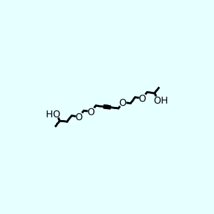 CC(O)CCOCOCC#CCOCCOCC(C)O